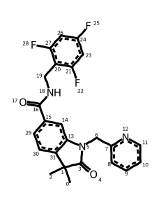 CC1(C)C(=O)N(Cc2ccccn2)c2cc(C(=O)NCc3c(F)cc(F)cc3F)ccc21